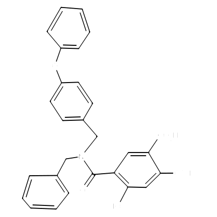 O=C(O)c1cc(O)c(C(=O)N(Cc2ccccc2)Cc2ccc(Oc3ccccc3)cc2)cc1C(=O)O